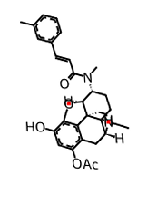 CC(=O)Oc1cc(O)c2c3c1C[C@@H]1[C@@H]4CC[C@@H](N(C)C(=O)C=Cc5cccc(C)c5)[C@H](O2)[C@]34CCN1C